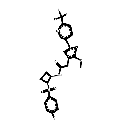 COc1nn(-c2ccc(C(F)(F)F)nc2)cc1CC(=O)N[C@@H]1CC[C@@H]1S(=O)(=O)c1ccc(F)cc1